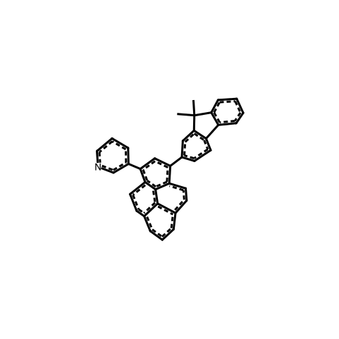 CC1(C)c2ccccc2-c2ccc(-c3cc(-c4cccnc4)c4ccc5cccc6ccc3c4c56)cc21